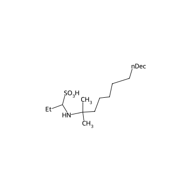 CCCCCCCCCCCCCCCC(C)(C)NC(CC)S(=O)(=O)O